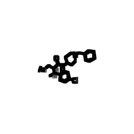 CC(=O)C[C@@H](C(=O)NC1CCN(Cc2ccccc2)CC1)[C@H](C)c1ccc(Cl)cc1